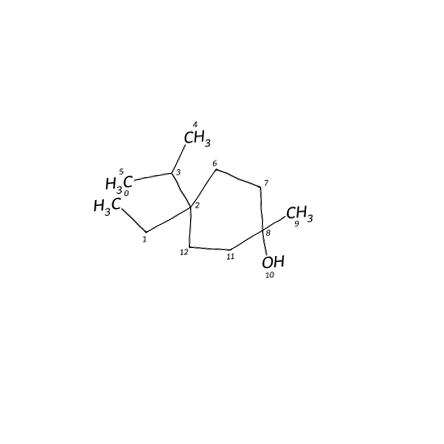 CCC1(C(C)C)CCC(C)(O)CC1